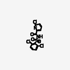 O=C(NS(=O)(=O)c1c(Cl)cccc1Cl)c1cccc(Cl)n1